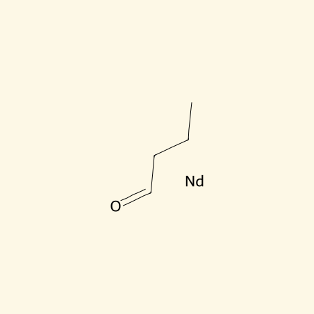 CCCC=O.[Nd]